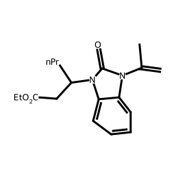 C=C(C)n1c(=O)n(C(CCC)CC(=O)OCC)c2ccccc21